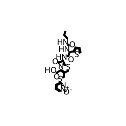 CCCNC(=O)NC(C(=O)N[C@H]1C(=O)N2C(C(=O)O)=C(CSc3ccc[n+]([O-])n3)CSC12)c1cccs1